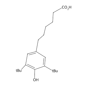 CC(C)(C)c1cc(CCCCCC(=O)O)cc(C(C)(C)C)c1O